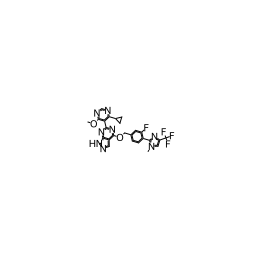 COc1ncnc(C2CC2)c1-c1nc(OCc2ccc(-c3nc(C(F)(F)F)cn3C)c(F)c2)c2cn[nH]c2n1